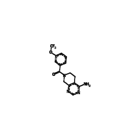 Nc1ncnc2c1CCN(C(=O)c1cccc(OC(F)(F)F)c1)C2